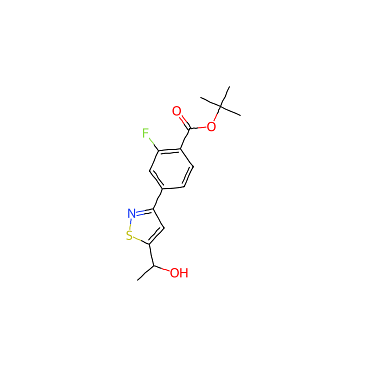 CC(O)c1cc(-c2ccc(C(=O)OC(C)(C)C)c(F)c2)ns1